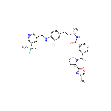 Cc1coc([C@H]2CCCN2C(=O)c2cccc(C(=O)N[C@@H](C)CCc3ccc(NCc4cncc(C(C)(C)F)c4)c(O)c3)c2)n1